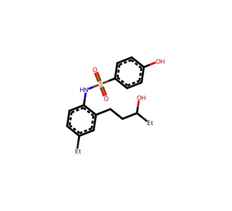 CCc1ccc(NS(=O)(=O)c2ccc(O)cc2)c(CCC(O)CC)c1